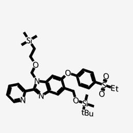 CCS(=O)(=O)c1ccc(Oc2cc3c(cc2CO[Si](C)(C)C(C)(C)C)nc(-c2ccccn2)n3COCC[Si](C)(C)C)cc1